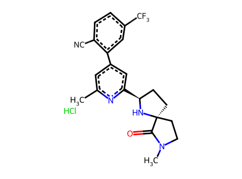 Cc1cc(-c2cc(C(F)(F)F)ccc2C#N)cc([C@H]2CC[C@@]3(CCN(C)C3=O)N2)n1.Cl